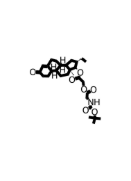 CC[C@H]1C[C@H]2[C@@H]3CCC4=CC(=O)CC[C@@H]4[C@H]3CC[C@]2(C)[C@H]1OC(=O)COC(=O)CNC(=O)OC(C)(C)C